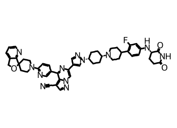 N#Cc1cnn2cc(-c3cnn([C@H]4CC[C@H](N5CCC(c6ccc(N[C@@H]7CCC(=O)NC7=O)cc6F)CC5)CC4)c3)nc(-c3ccc(N4CCC5(CC4)OCc4cccnc45)nc3)c12